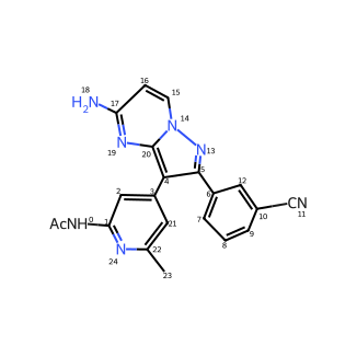 CC(=O)Nc1cc(-c2c(-c3cccc(C#N)c3)nn3ccc(N)nc23)cc(C)n1